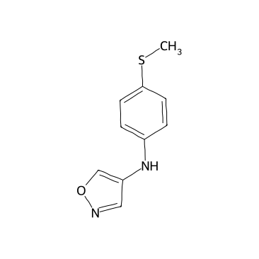 CSc1ccc(Nc2cnoc2)cc1